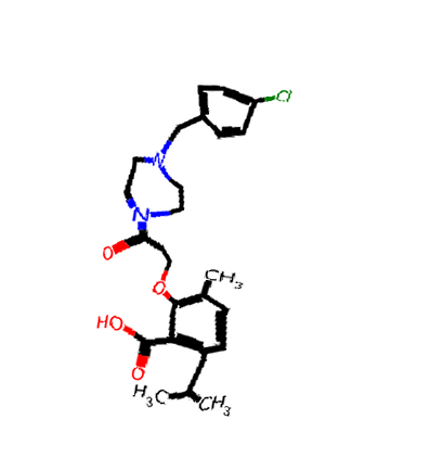 Cc1ccc(C(C)C)c(C(=O)O)c1OCC(=O)N1CCN(Cc2ccc(Cl)cc2)CC1